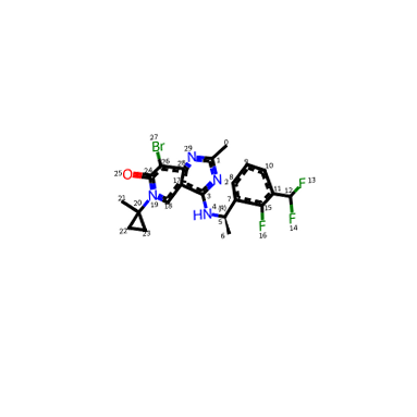 Cc1nc(N[C@H](C)c2cccc(C(F)F)c2F)c2cn(C3(C)CC3)c(=O)c(Br)c2n1